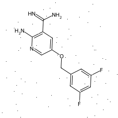 N=C(N)c1cc(OCc2cc(F)cc(F)c2)cnc1N